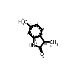 Cc1ccc2c(c1)NC(=O)C2C